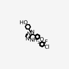 Nc1nccn2c(C3CCC(O)CC3)nc(-c3ccc(Oc4cccc(Cl)c4F)cc3)c12